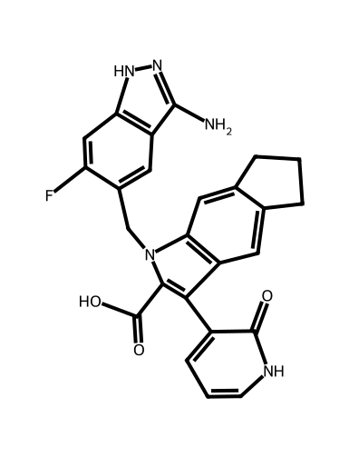 Nc1n[nH]c2cc(F)c(Cn3c(C(=O)O)c(-c4ccc[nH]c4=O)c4cc5c(cc43)CCC5)cc12